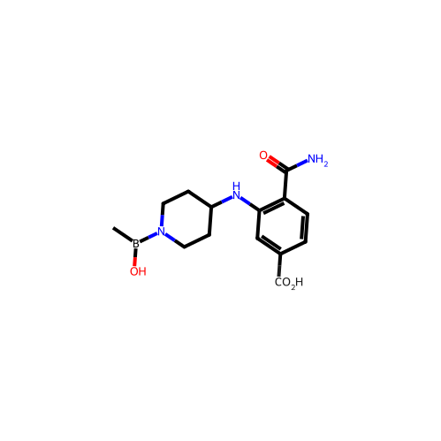 CB(O)N1CCC(Nc2cc(C(=O)O)ccc2C(N)=O)CC1